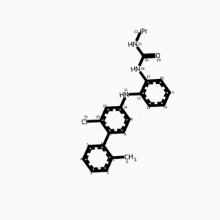 Cc1ccccc1-c1ccc(Nc2ccccc2NC(=O)NC(C)C)cc1Cl